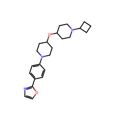 c1coc(-c2ccc(N3CCC(OC4CCN(C5CCC5)CC4)CC3)cc2)n1